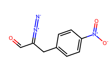 [N-]=[N+]=C(C=O)Cc1ccc([N+](=O)[O-])cc1